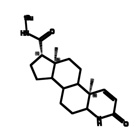 CC(C)(C)NC(=O)[C@H]1CCC2C3CCC4NC(=O)C=C[C@]4(C)C3CC[C@@]21C